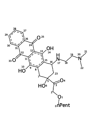 CCCCCOCC(=O)C1(O)Cc2c(O)c3c(c(O)c2C(NCCN(C)C)C1)C(=O)c1ccccc1C3=O